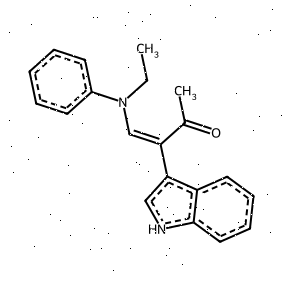 CCN(/C=C(\C(C)=O)c1c[nH]c2ccccc12)c1ccccc1